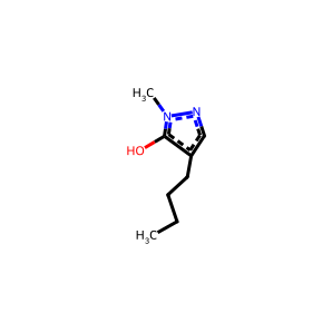 CCCCc1cnn(C)c1O